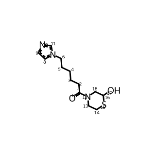 O=C(CCCCCn1c[c]nc1)N1CCSC(O)C1